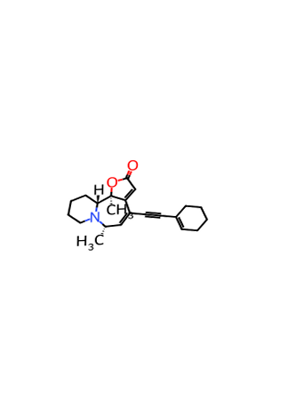 C[C@H]1C=C(C#CC2=CCCCC2)C2=CC(=O)O[C@]2(C)[C@H]2CCCCN12